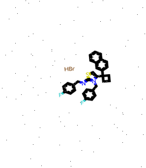 Br.Fc1ccc(CN=c2scc(C3(c4ccc5ccccc5c4)CCC3)n2Cc2ccc(F)cc2)cc1